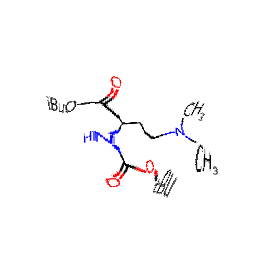 CC(C)COC(=O)C(CCN(C)C)NC(=O)OC(C)(C)C